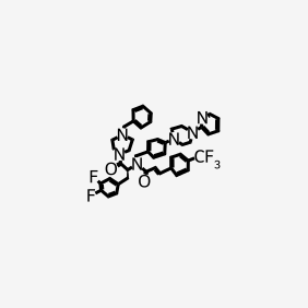 O=C([C@H](Cc1ccc(F)c(F)c1)N(Cc1ccc(N2CCN(c3ccccn3)CC2)cc1)C(=O)/C=C/c1ccc(C(F)(F)F)cc1)N1CCN(Cc2ccccc2)CC1